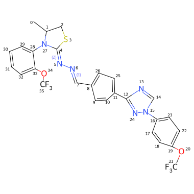 CC1CS/C(=N\N=C\c2ccc(-c3ncn(-c4ccc(OC(F)(F)F)cc4)n3)cc2)N1c1ccccc1OC(F)(F)F